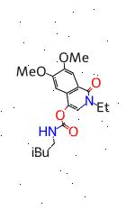 CCC(C)CNC(=O)Oc1cn(CC)c(=O)c2cc(OC)c(OC)cc12